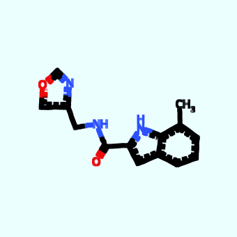 Cc1cccc2cc(C(=O)NCc3cocn3)[nH]c12